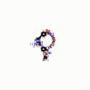 CN(Cc1cccc2c1OCCOCCOCCNS(=O)(=O)c1ccc(cc1)-c1cnc(N)c(n1)C(=O)N2)C(=O)OC(C)(C)C